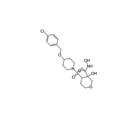 O=C(NO)C1(O)COCCC1S(=O)(=O)N1CCC(OCc2ccc(Cl)cc2)CC1